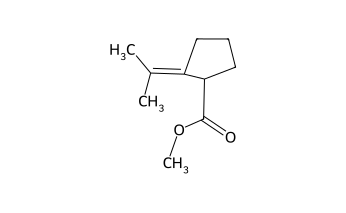 COC(=O)C1CCCC1=C(C)C